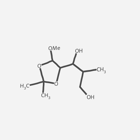 COC1OC(C)(C)OC1C(O)C(C)CO